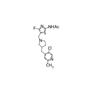 CC(=O)Nc1nc(F)c(CN2CCC(Cc3cc(C)ncc3Cl)C2)s1